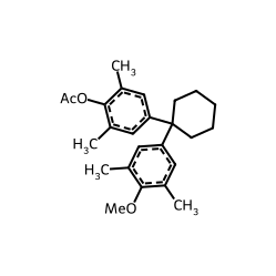 COc1c(C)cc(C2(c3cc(C)c(OC(C)=O)c(C)c3)CCCCC2)cc1C